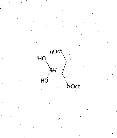 CCCCCCCCCCCCCCCCCC.OBO